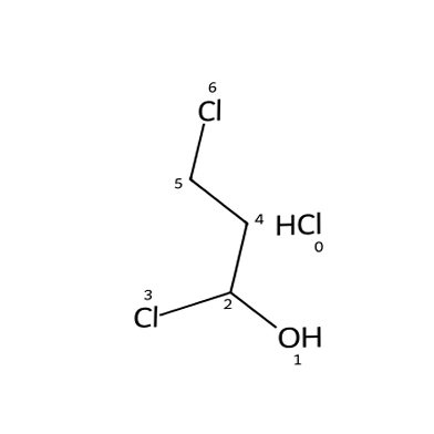 Cl.OC(Cl)CCCl